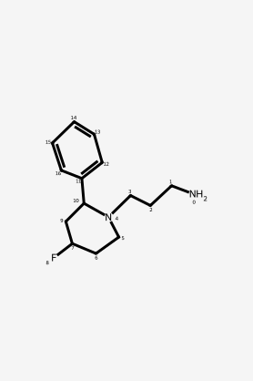 NCCCN1CCC(F)CC1c1ccccc1